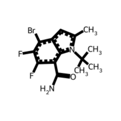 Cc1cc2c(Br)c(F)c(F)c(C(N)=O)c2n1C(C)(C)C